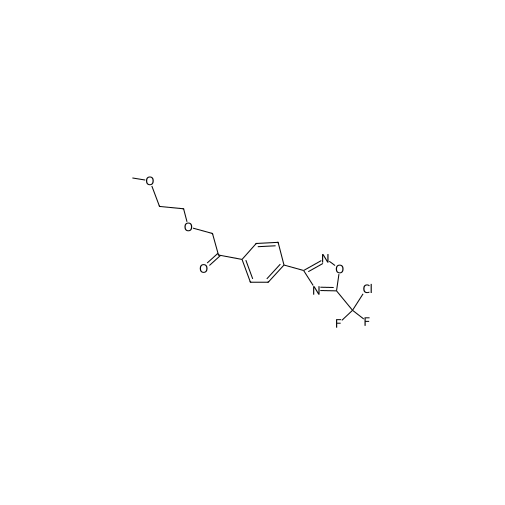 COCCOCC(=O)c1ccc(-c2noc(C(F)(F)Cl)n2)cc1